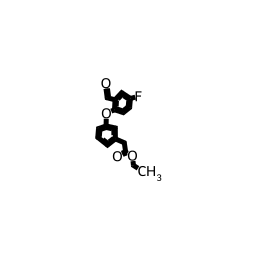 CCOC(=O)Cc1cccc(Oc2ccc(F)cc2C=O)c1